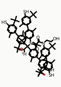 [2H]C(O)C(c1cc(C)c(-c2cc(C(C)(C)C)c(S)cc2C)cc1C(C)(C)C)(c1cc(C)c(-c2cc(C(C)(C)C)c(S)cc2C)cc1C(C)(C)C)N(C(=O)C(=O)N(CCO)c1cc(C)c(-c2cc(C(C)(C)C)c(S)cc2C)cc1C(C)(C)C)c1cc(C)c(-c2cc(C(C)(C)C)c(S)cc2C)cc1C(C)(C)C